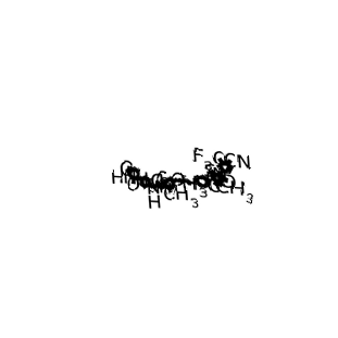 C[C@@H]1CC(OCCC[C@H]2CC[C@H](N3C(=S)N(c4ccc(C#N)c(C(F)(F)F)c4)C(=O)C3(C)C)CC2)C[C@H](C)N1CC(=O)Nc1ccc(C2CCC(=O)NC2=O)cc1